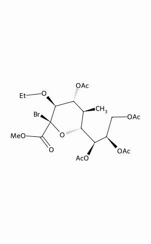 CCO[C@H]1[C@H](OC(C)=O)[C@@H](C)[C@H]([C@H](OC(C)=O)[C@@H](COC(C)=O)OC(C)=O)O[C@]1(Br)C(=O)OC